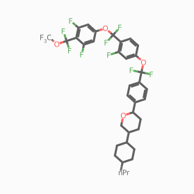 CCCC1CCC(C2CCC(c3ccc(C(F)(F)Oc4ccc(C(F)(F)Oc5cc(F)c(C(F)(F)OC(F)(F)F)c(F)c5)c(F)c4)cc3)OC2)CC1